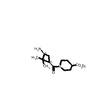 CCOC(=O)C1CCN(C(=O)[C@@H]2C[C@H](N)C2(C)C)CC1